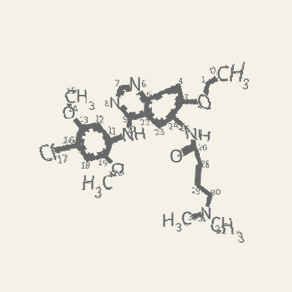 CCOc1cc2ncnc(Nc3cc(OC)c(Cl)cc3OC)c2cc1NC(=O)/C=C/CN(C)C